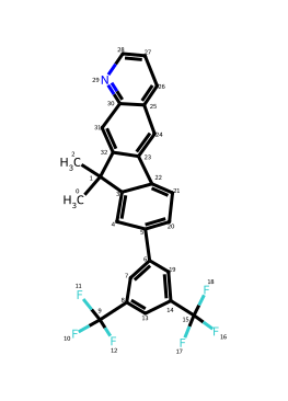 CC1(C)c2cc(-c3cc(C(F)(F)F)cc(C(F)(F)F)c3)ccc2-c2cc3cccnc3cc21